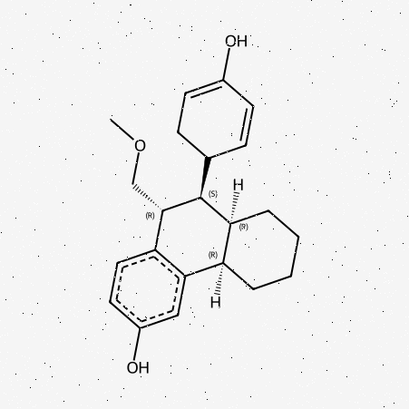 COC[C@H]1c2ccc(O)cc2[C@@H]2CCCC[C@@H]2[C@@H]1C1C=CC(O)=CC1